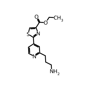 CCOC(=O)c1csc(-c2ccnc(CCCN)c2)n1